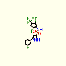 O=S(=O)(Nc1cc(F)c(C(F)(F)F)cc1F)c1c[nH]c(-c2cccc(F)c2)c1